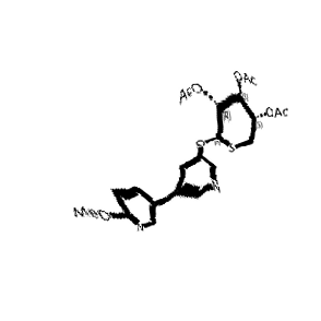 COc1ccc(-c2cncc(O[C@@H]3SC[C@@H](OC(C)=O)[C@H](OC(C)=O)[C@H]3OC(C)=O)c2)cn1